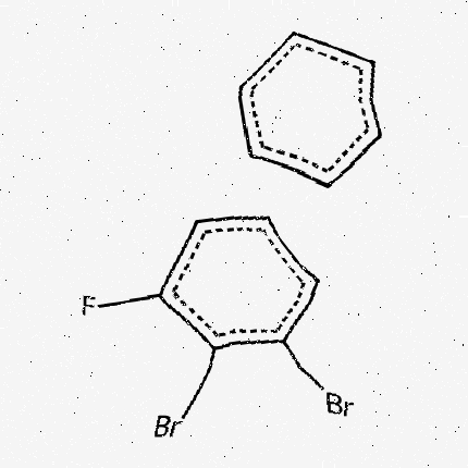 Fc1cccc(Br)c1Br.c1ccccc1